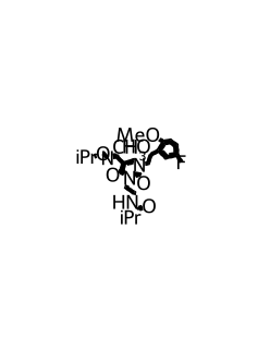 COc1ccc(F)cc1C(O)Cn1cc(/C(C)=N/OC(C)C)c(=O)n(CCNC(=O)C(C)C)c1=O